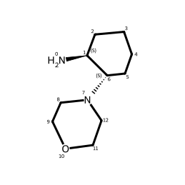 N[C@H]1CCCC[C@@H]1N1CCOCC1